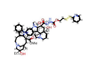 CC[C@]1(O)C[C@H]2CN(CCc3c([nH]c4ccccc34)[C@@](C(=O)OC)(c3cc4c(cc3OC)N(C)[C@H]3[C@@](O)(C(=O)NNC(=O)OCCSSc5ccccn5)[C@H](O)[C@]5(CC)C=CCN6CC[C@]43[C@@H]65)C2)C1